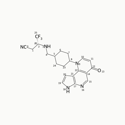 N#CC[C@@H](NCC1CCC(n2ccc(=O)c3cnc4[nH]ccc4c32)CC1)C(F)(F)F